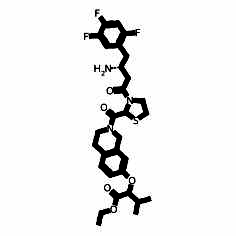 CCOC(=O)C(Oc1ccc2c(c1)CN(C(=O)C1SCCN1C(=O)C[C@H](N)Cc1cc(F)c(F)cc1F)CC2)C(C)C